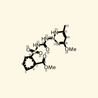 COC(=O)c1ccccc1S(=O)(=O)NC(=O)NN1N=C(OC)C=C(C)N1